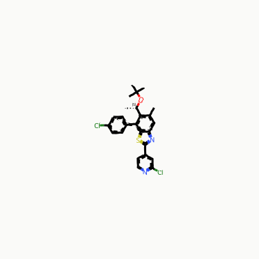 [CH2][C@H](OC(C)(C)C)c1c(C)cc2nc(-c3ccnc(Cl)c3)sc2c1-c1ccc(Cl)cc1